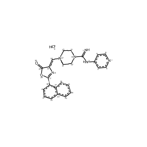 Cl.N=C(Nc1ccncc1)N1CCN(C=C2N=C(c3cccc4ccccc34)OC2=O)CC1